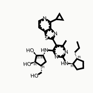 CCC[C@@H]1CCC[C@H]1Nc1nc(C)c(-c2nc3c(C4CC4)nccc3s2)c(N[C@@H]2C[C@H](CO)[C@@H](O)[C@H]2O)n1